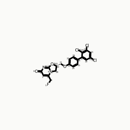 O=c1cc(CF)n2c(n1)O[C@H](COc1ccc(-c3cc(Cl)cc(Cl)c3Cl)cc1)C2